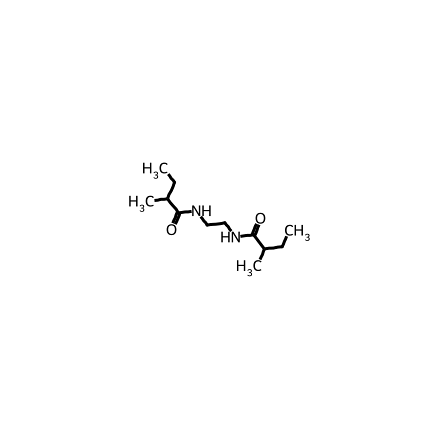 CCC(C)C(=O)NCCNC(=O)C(C)CC